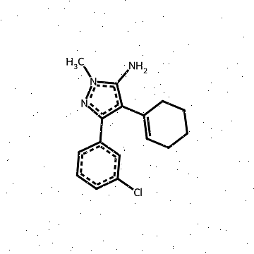 Cn1nc(-c2cccc(Cl)c2)c(C2=CCCCC2)c1N